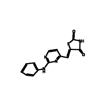 O=C1NC(=O)/C(=C/c2ccnc(Nc3ccccc3)n2)S1